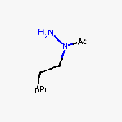 CCCCCN(N)C(C)=O